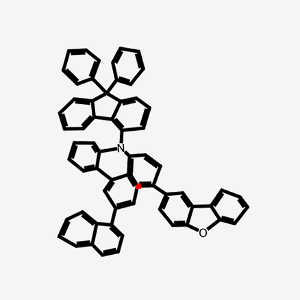 c1ccc(C2(c3ccccc3)c3ccccc3-c3c(N(c4ccc(-c5ccc6oc7ccccc7c6c5)cc4)c4ccccc4-c4cccc(-c5cccc6ccccc56)c4)cccc32)cc1